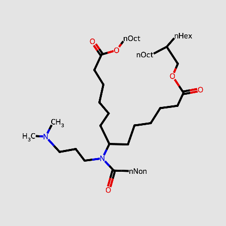 CCCCCCCCCC(=O)N(CCCN(C)C)C(CCCCCC(=O)OCCCCCCCC)CCCCCC(=O)OCC(CCCCCC)CCCCCCCC